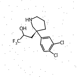 OC(C[C@]1(c2ccc(Cl)c(Cl)c2)CCCNC1)C(F)(F)F